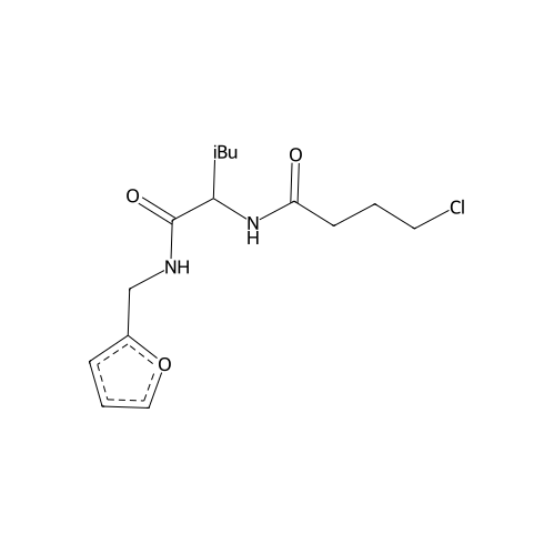 CCC(C)C(NC(=O)CCCCl)C(=O)NCc1ccco1